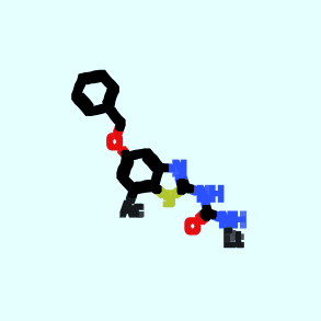 CCNC(=O)Nc1nc2cc(OCc3ccccc3)cc(C(C)=O)c2s1